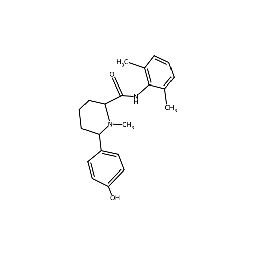 Cc1cccc(C)c1NC(=O)C1CCCC(c2ccc(O)cc2)N1C